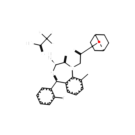 Cc1cccc2c1N(CC(=O)N1CC3CCC(CC3)C1)C(=O)[C@H](N)N=C2c1ccccc1F.O=C(O)C(F)(F)F